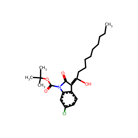 CCCCCCCCCC(O)=C1C(=O)N(C(=O)OC(C)(C)C)c2cc(Cl)ccc21